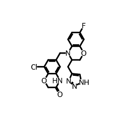 O=C1COc2c(Cl)cc(CN3c4ccc(F)cc4OCC3Cc3c[nH]nn3)cc2N1